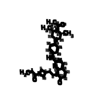 C=CC(=O)N1CC(CCn2c(=O)ccc3cnc(Nc4ccc(N5C[C@@H](C)N(C(C)=O)[C@@H](C)C5)cc4)nc32)C1